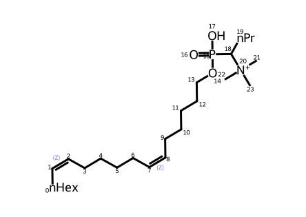 CCCCCC/C=C\CCCC/C=C\CCCCCOP(=O)(O)C(CCC)[N+](C)(C)C